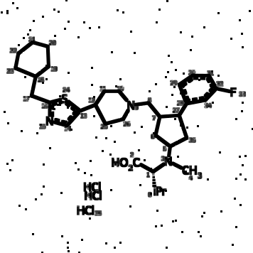 CC(C)[C@H](C(=O)O)N(C)C1CC(CN2CCC(c3cnc(CC4CCCCC4)s3)CC2)C(c2cccc(F)c2)C1.Cl.Cl.Cl